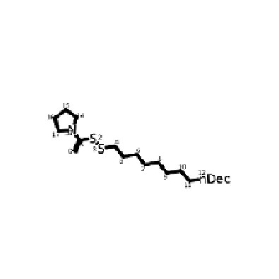 C=C(SSCCCCCCCCCCCCCCCCCC)N1CCCC1